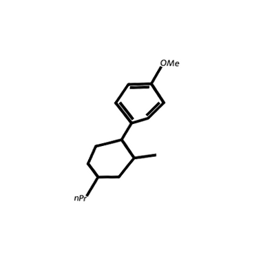 CCCC1CCC(c2ccc(OC)cc2)C(C)C1